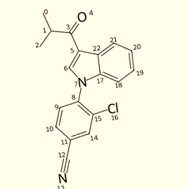 CC(C)C(=O)c1cn(-c2ccc(C#N)cc2Cl)c2ccccc12